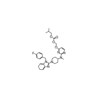 CC(C)COC(=O)OCOc1ccnc(N(C)C2CCN(c3nc4c(n3Cc3ccc(F)cc3)=CCCC=4)CC2)n1